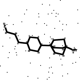 CCCC12CCC(C3CCC(CCCF)CC3)(CC1)CC2